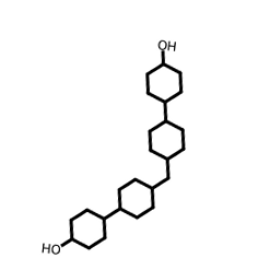 OC1CCC(C2CCC(CC3CCC(C4CCC(O)CC4)CC3)CC2)CC1